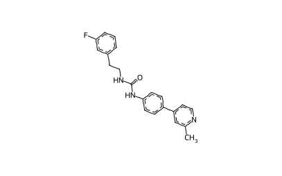 Cc1cc(-c2ccc(NC(=O)NCCc3cccc(F)c3)cc2)ccn1